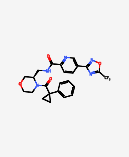 O=C(NC[C@@H]1COCCN1C(=O)C1(c2ccccc2)CC1)c1ccc(-c2noc(C(F)(F)F)n2)cn1